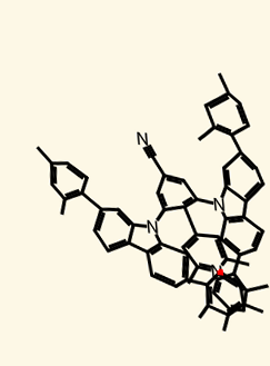 Cc1ccc(-c2ccc3c4ccc(-c5ccc(C)cc5C)cc4n(-c4cc(C#N)cc(-n5c6cc(-c7ccc(C)cc7C)ccc6c6ccc(-c7ccc(C)cc7C)cc65)c4-c4cc(C)nc(C)c4)c3c2)c(C)c1